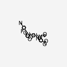 COC(=O)c1ccc2nc(CN3CCN4c5nc(OCc6ccc(C#N)cc6F)ccc5OCC4C3)n(C[C@@H]3CCO3)c2c1